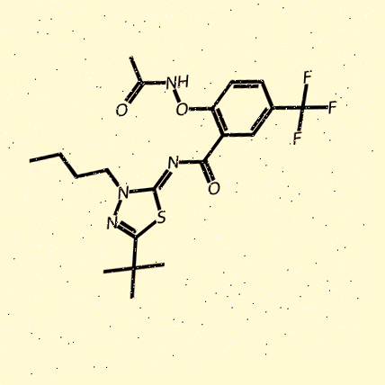 CCCCn1nc(C(C)(C)C)s/c1=N\C(=O)c1cc(C(F)(F)F)ccc1ONC(C)=O